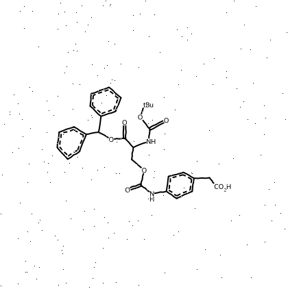 CC(C)(C)OC(=O)NC(COC(=O)Nc1ccc(CC(=O)O)cc1)C(=O)OC(c1ccccc1)c1ccccc1